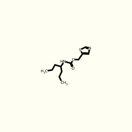 CCCC(CCC)NC(=O)OCc1cncs1